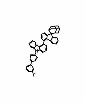 Fc1cccc(-c2ccc(-n3c4ccccc4c4c(-c5cccc6c5-c5ccccc5C65C6CC7CC(C6)CC5C7)cccc43)cc2)c1